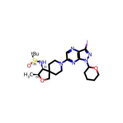 C[C@@H]1OCC2(CCN(c3cnc4c(I)nn(C5CCCCO5)c4n3)CC2)[C@@H]1N[S@@+]([O-])C(C)(C)C